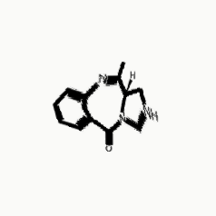 CC1=Nc2ccccc2C(=O)N2CNC[C@@H]12